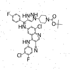 CC(C)(C)OC(=O)N1CCC(N2C=C([C@@H](Nc3cc(Cl)c4ncc(C#N)c(Nc5ccc(F)c(Cl)c5)c4c3)c3ccc(F)cc3)NN2)CC1